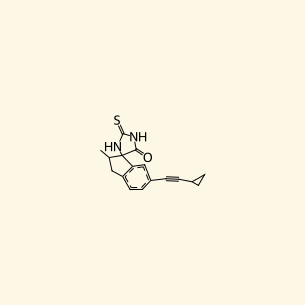 CC1Cc2ccc(C#CC3CC3)cc2C12NC(=S)NC2=O